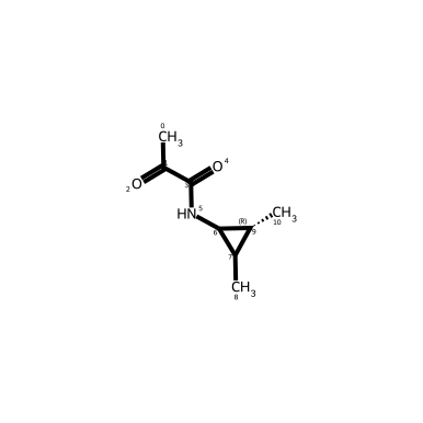 CC(=O)C(=O)NC1C(C)[C@H]1C